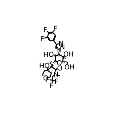 CN(CC(F)(F)F)C(=O)[C@@H](S[C@@H]1O[C@H](CO)[C@H](O)[C@H](n2cc(-c3cc(F)c(F)c(F)c3)nn2)[C@H]1O)C1(O)CCOCC1